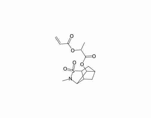 C=CC(=O)OC(C)C(=O)OC1C2CC3C1N(C)S(=O)(=O)C3C2